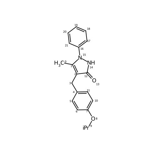 Cc1c(Cc2ccc(OC(C)C)cc2)c(=O)[nH]n1-c1ccccc1